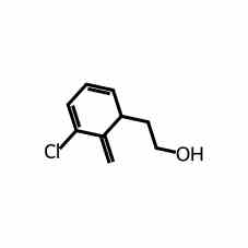 C=C1C(Cl)=CC=CC1CCO